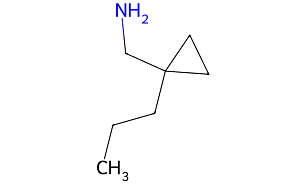 CCCC1(CN)CC1